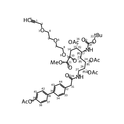 C#CCOCCOCCO[C@]1(C(=O)OC)C[C@H](OC(C)=O)[C@@H](NC(=O)OC(C)(C)C)[C@H]([C@H](OC(C)=O)[C@@H](CNC(=O)Cc2ccc(-c3ccc(OC(C)=O)cc3)cc2)OC(C)=O)O1